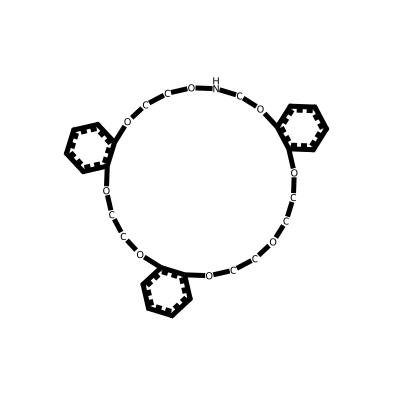 c1ccc2c(c1)OCCOCCOc1ccccc1OCNOCCOc1ccccc1OCCO2